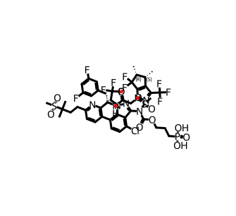 C[C@@H]1c2c(C(F)(F)F)nn(CC(=O)N[C@@H](Cc3cc(F)cc(F)c3)c3nc(CCC(C)(C)S(C)(=O)=O)ccc3-c3ccc(Cl)c4c(N(C(=O)OCCCP(=O)(O)O)S(C)(=O)=O)nn(CC(F)(F)F)c34)c2C(F)(F)[C@@H]1C